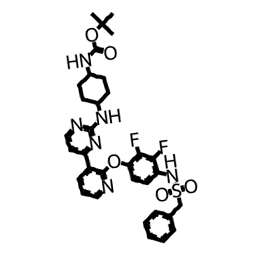 CC(C)(C)OC(=O)NC1CCC(Nc2nccc(-c3cccnc3Oc3ccc(NS(=O)(=O)Cc4ccccc4)c(F)c3F)n2)CC1